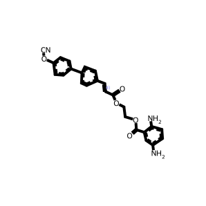 N#COc1ccc(-c2ccc(/C=C/C(=O)OCCOC(=O)c3cc(N)ccc3N)cc2)cc1